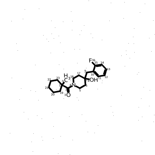 CC1(C(=O)N2CCC(O)([CH]c3ccccc3F)CC2)CCCCC1